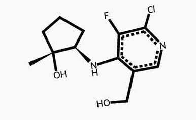 C[C@@]1(O)CCC[C@H]1Nc1c(CO)cnc(Cl)c1F